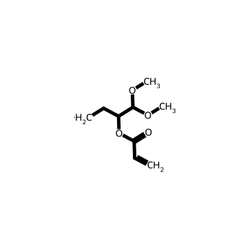 [CH2]CC(OC(=O)C=C)C(OC)OC